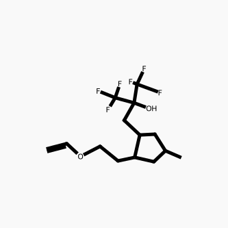 C=COCCC1CC(C)CC1CC(O)(C(F)(F)F)C(F)(F)F